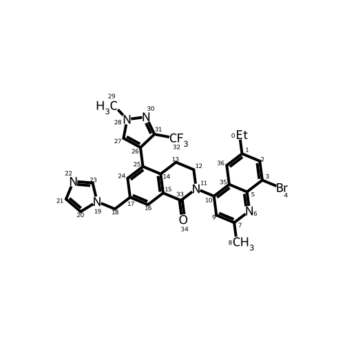 CCc1cc(Br)c2nc(C)cc(N3CCc4c(cc(Cn5ccnc5)cc4-c4cn(C)nc4C(F)(F)F)C3=O)c2c1